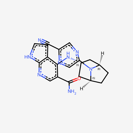 N#Cc1cnc(N2[C@@H]3CC[C@H]2C[C@H](Nc2c(C(N)=O)cnc4[nH]ccc24)C3)cn1